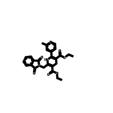 CCOC(=O)C1=C(CN2C(=O)c3ccccc3C2=O)NC(c2ccnc(C)c2)=C(C(=O)OCC)C1